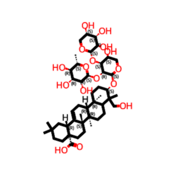 C[C@@H]1O[C@@H](O[C@H]2[C@H](O[C@H]3CC[C@@]4(C)C(CC[C@]5(C)[C@@H]4CC=C4[C@H]6CC(C)(C)CC[C@]6(C(=O)O)CC[C@]45C)C3(C)CO)OC[C@H](O)[C@@H]2O[C@@H]2OC[C@H](O)[C@H](O)[C@H]2O)[C@H](O)[C@H](O)[C@H]1O